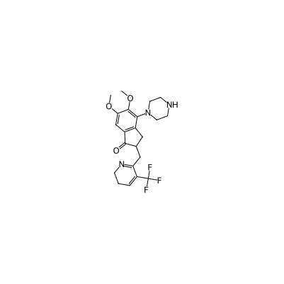 COc1cc2c(c(N3CCNCC3)c1OC)CC(CC1=NCCC=C1C(F)(F)F)C2=O